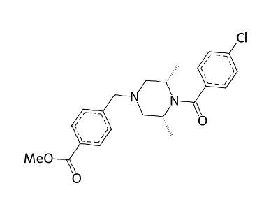 COC(=O)c1ccc(CN2C[C@@H](C)N(C(=O)c3ccc(Cl)cc3)[C@@H](C)C2)cc1